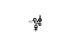 C[C@@H]1CCCN(C(=O)c2cc(C#N)ccc2-n2nccn2)C1CNc1ncc(C(F)(F)F)cn1